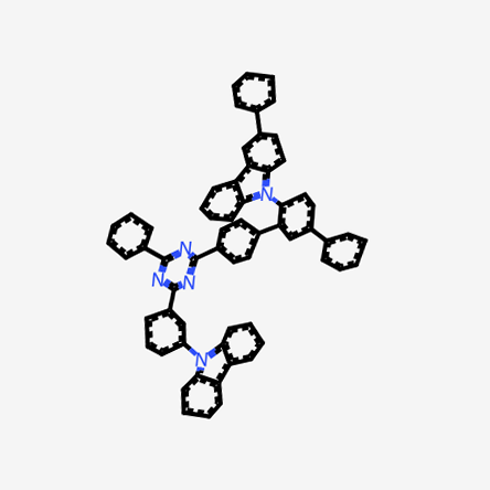 c1ccc(-c2ccc(-n3c4ccccc4c4cc(-c5ccccc5)ccc43)c(-c3ccc(-c4nc(-c5ccccc5)nc(-c5cccc(-n6c7ccccc7c7ccccc76)c5)n4)cc3)c2)cc1